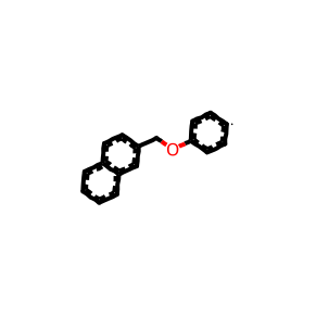 [c]1ccc(OCc2ccc3ccccc3c2)cc1